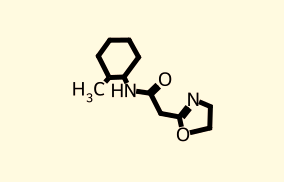 CC1CCCCC1NC(=O)CC1=NCCO1